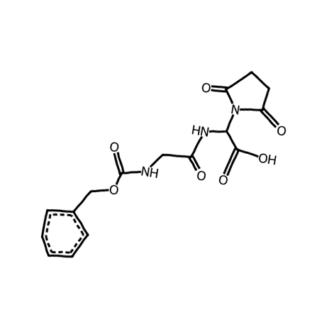 O=C(CNC(=O)OCc1ccccc1)NC(C(=O)O)N1C(=O)CCC1=O